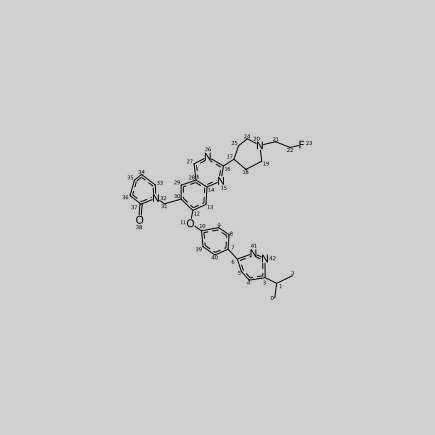 CC(C)c1ccc(-c2ccc(Oc3cc4nc(C5CCN(CCF)CC5)ncc4cc3Cn3ccccc3=O)cc2)nn1